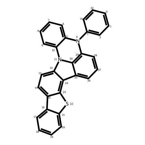 c1ccc(N2c3ccccc3-n3c4ccc5c6ccccc6sc5c4c4cccc2c43)cc1